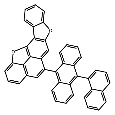 c1ccc2c(-c3c4ccccc4c(-c4cc5cccc6oc7c8c(cc4c7c56)oc4ccccc48)c4ccccc34)cccc2c1